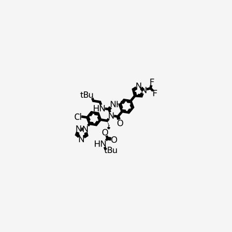 CC(C)(C)CCNC(=N)N(C(=O)c1ccc(-c2cnn(C(F)F)c2)cc1)[C@H](COC(=O)NC(C)(C)C)c1ccc(Cl)c(-n2cncn2)c1